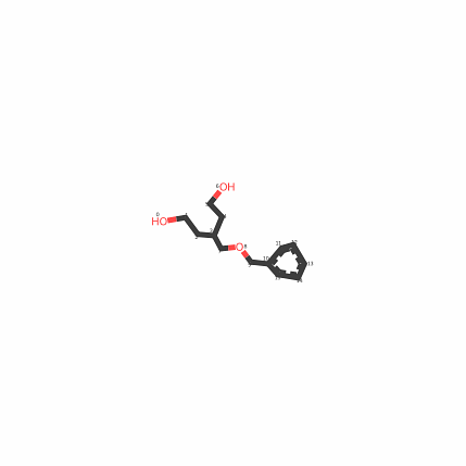 OCCC(CCO)COCc1ccccc1